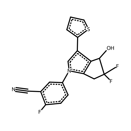 N#Cc1cc(-n2cc(-c3cccs3)c3c2CC(F)(F)C3O)ccc1F